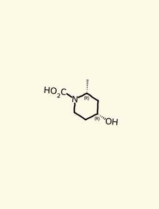 C[C@@H]1C[C@H](O)CCN1C(=O)O